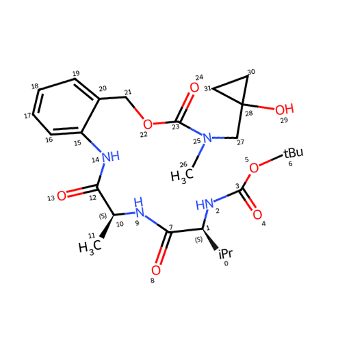 CC(C)[C@H](NC(=O)OC(C)(C)C)C(=O)N[C@@H](C)C(=O)Nc1ccccc1COC(=O)N(C)CC1(O)CC1